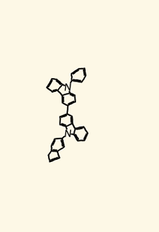 C1=Cc2cc(-n3c4ccccc4c4cc(-c5ccc6c(c5)c5ccccc5n6-c5ccccc5)ccc43)ccc2C1